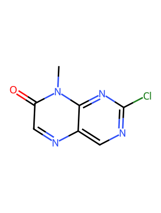 Cn1c(=O)cnc2cnc(Cl)nc21